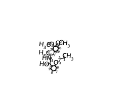 CCCCOc1ccccc1C(O)CNC(C)Cc1ccc(OC)c(OC)c1